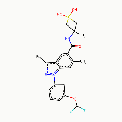 Cc1cc2c(cc1C(=O)NC1(C)CS(O)(O)C1)c(C(C)C)nn2-c1cccc(OC(F)F)c1